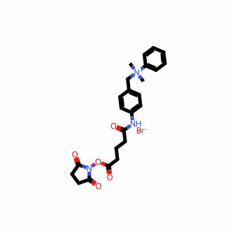 C[N+](C)(Cc1ccc(NC(=O)CCCC(=O)ON2C(=O)CCC2=O)cc1)c1ccccc1.[Br-]